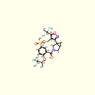 Cc1c(C23CC2CN(C(=O)c2cc(S(C)(=O)=O)ccc2OC(C)C(F)(F)F)C3)noc1C(C)(F)F